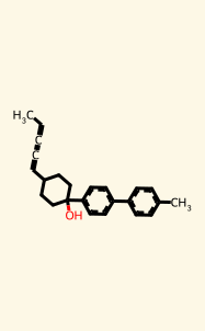 CC=C=C=CC1CCC(O)(c2ccc(-c3ccc(C)cc3)cc2)CC1